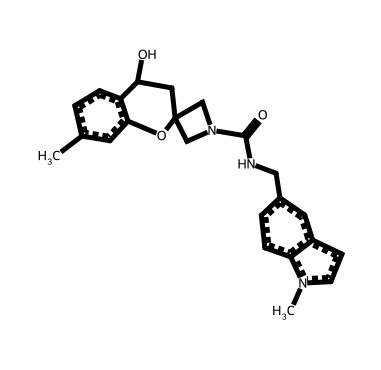 Cc1ccc2c(c1)OC1(CC2O)CN(C(=O)NCc2ccc3c(ccn3C)c2)C1